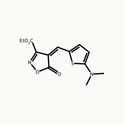 CCOC(=O)C1=NOC(=O)C1=Cc1ccc(N(C)C)s1